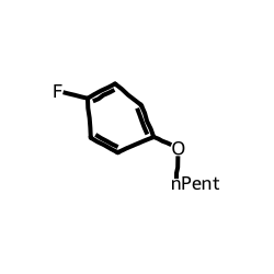 [CH2]CCCCOc1ccc(F)cc1